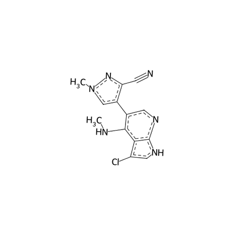 CNc1c(-c2cn(C)nc2C#N)cnc2[nH]cc(Cl)c12